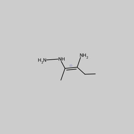 CC/C(N)=C(\C)NN